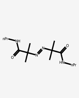 CCCNC(=O)C(C)(C)N=NC(C)(C)C(=O)NCCC